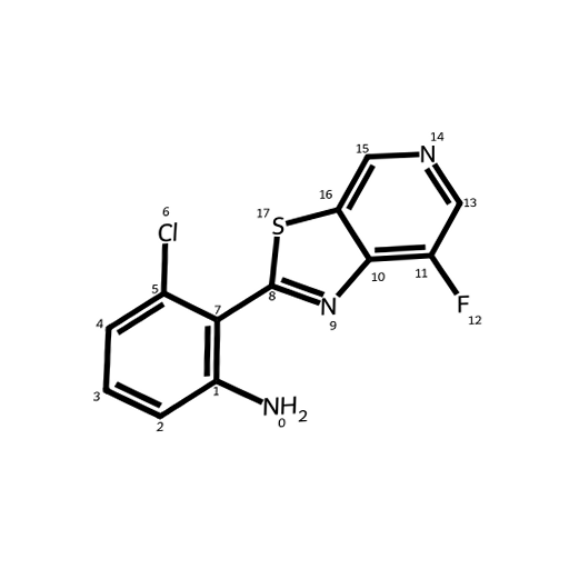 Nc1cccc(Cl)c1-c1nc2c(F)cncc2s1